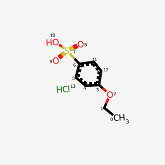 CCOc1ccc(S(=O)(=O)O)cc1.Cl